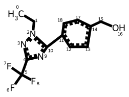 CCn1nc(C(F)(F)F)nc1-c1ccc(CO)cc1